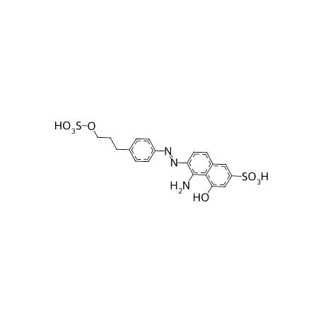 Nc1c(/N=N/c2ccc(CCCOS(=O)(=O)O)cc2)ccc2cc(S(=O)(=O)O)cc(O)c12